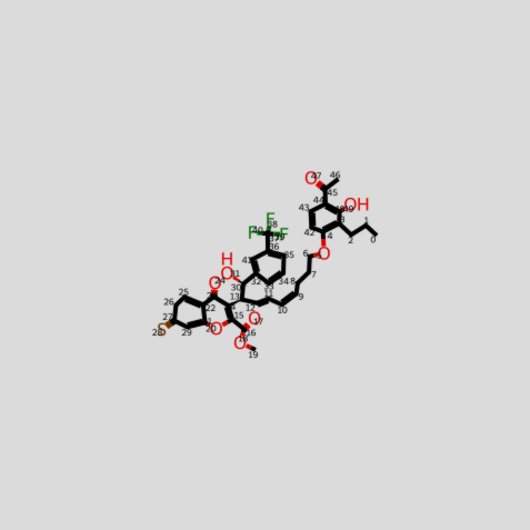 CCCc1c(OCCC/C=C\C=C\[C@@H](c2c(C(=O)OC)oc3c(c2=O)=CCC(=S)C=3)[C@@H](O)c2cccc(C(F)(F)F)c2)ccc(C(C)=O)c1O